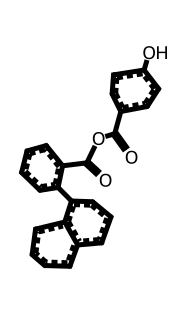 O=C(OC(=O)c1ccccc1-c1cccc2ccccc12)c1ccc(O)cc1